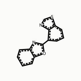 [c]1nc2c(-c3nc4ccccc4o3)cccc2s1